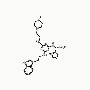 CN1CCN(CCNc2nc(NCCc3c[nH]c4ccccc34)nc(NC(C(=O)O)c3cnc[nH]3)n2)CC1